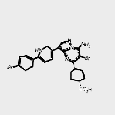 CC(C)C1=CC=C(C2=CC=C(c3cnn4c(N)c(Br)c([C@H]5CC[C@H](C(=O)O)CC5)nc34)CN2)CC1